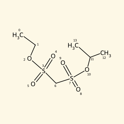 CCOS(=O)(=O)CS(=O)(=O)OC(C)C